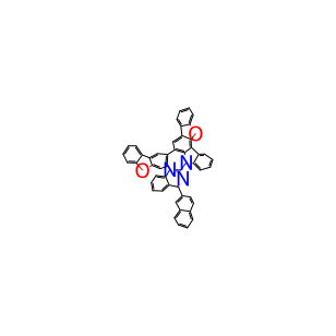 c1ccc2cc(-c3nc(-n4c5ccccc5c5c6oc7ccccc7c6cc(-c6ccc7oc8ccccc8c7c6)c54)nc4ccccc34)ccc2c1